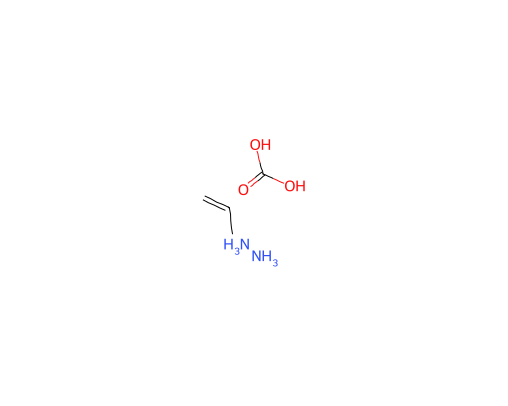 C=CC.N.N.O=C(O)O